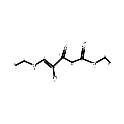 CCOC=C(Cl)C(=O)CC(=O)OCC